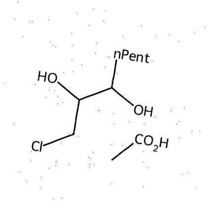 CC(=O)O.CCCCCC(O)C(O)CCl